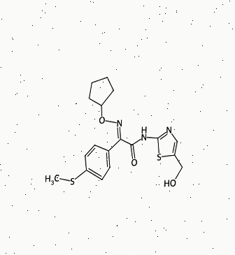 CSc1ccc(/C(=N\OC2CCCC2)C(=O)Nc2ncc(CO)s2)cc1